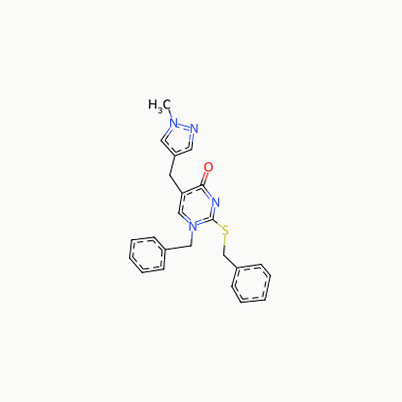 Cn1cc(Cc2cn(Cc3ccccc3)c(SCc3ccccc3)nc2=O)cn1